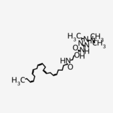 CC/C=C\C/C=C\C/C=C\C/C=C\C/C=C\CCCC(=O)NCCOC(=O)NC1=NC(C)N=C(N(C)C)N1